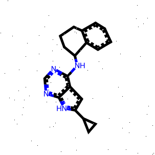 c1ccc2c(c1)CCCC2Nc1ncnc2[nH]c(C3CC3)cc12